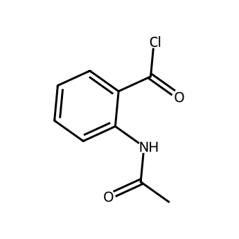 CC(=O)Nc1ccccc1C(=O)Cl